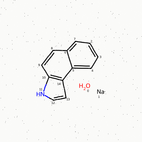 O.[Na].c1ccc2c(c1)ccc1[nH]ccc12